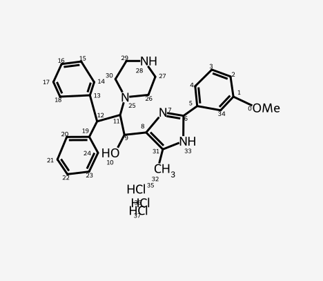 COc1cccc(-c2nc(C(O)C(C(c3ccccc3)c3ccccc3)N3CCNCC3)c(C)[nH]2)c1.Cl.Cl.Cl